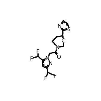 O=C(Cn1nc(C(F)F)cc1C(F)F)N1CCC(c2nccs2)CC1